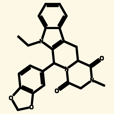 CCn1c2c(c3ccccc31)CC1C(=O)N(C)CC(=O)N1C2c1ccc2c(c1)OCO2